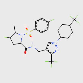 CC1C(F)CC(C(=O)NCc2cn(C3CCC(C(F)(F)F)CC3)nc2C(F)(F)F)N1S(=O)(=O)c1ccc(F)cc1